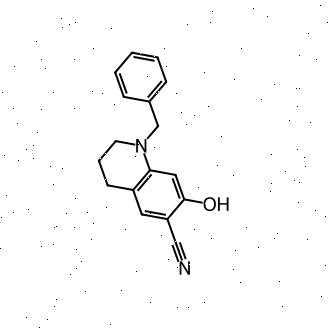 N#Cc1cc2c(cc1O)N(Cc1ccccc1)CCC2